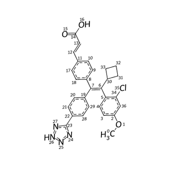 COc1ccc(C(=C(c2ccc(C=CC(=O)O)cc2)c2ccc(-c3nn[nH]n3)cc2)C2CCC2)c(Cl)c1